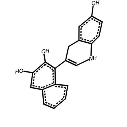 Oc1ccc2c(c1)CC(c1c(O)c(O)cc3ccccc13)=CN2